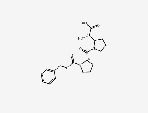 O=C(O)[C@@H](O)C1CCCN1C(=O)[C@@H]1CCCN1C(=O)OCc1ccccc1